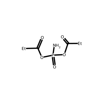 CCC(=O)OP(N)(=O)OC(=O)CC